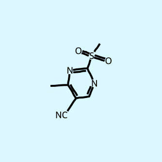 Cc1nc(S(C)(=O)=O)ncc1C#N